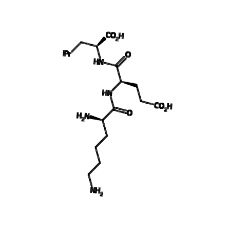 CC(C)C[C@H](NC(=O)[C@@H](CCC(=O)O)NC(=O)[C@H](N)CCCCN)C(=O)O